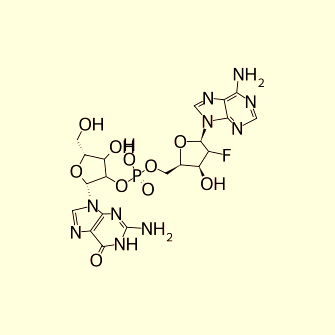 Nc1nc2c(ncn2[C@@H]2O[C@H](CO)C(O)C2OP(=O)(O)OC[C@H]2O[C@@H](n3cnc4c(N)ncnc43)C(F)[C@H]2O)c(=O)[nH]1